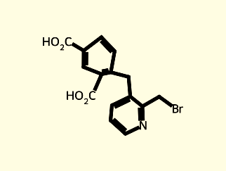 O=C(O)c1ccc(Cc2cccnc2CBr)c(C(=O)O)c1